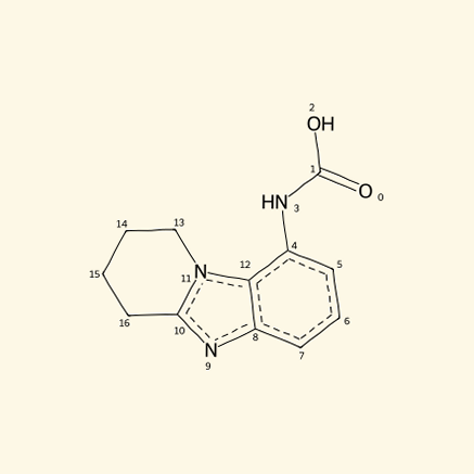 O=C(O)Nc1cccc2nc3n(c12)CCCC3